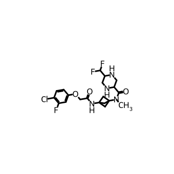 CN(C(=O)C1CNC(C(F)F)CN1)C12CC(NC(=O)COc3ccc(Cl)c(F)c3)(C1)C2